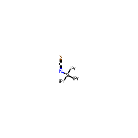 CC(C)[Si](N=C=S)(C(C)C)C(C)C